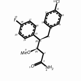 CO[C@H](CC(N)=O)[C@H](Cc1ccc(Cl)cc1)c1ccc(F)cc1